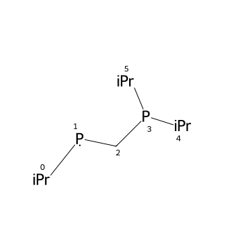 CC(C)[P]CP(C(C)C)C(C)C